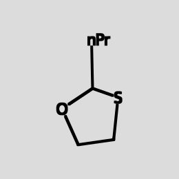 [CH2]CCC1OCCS1